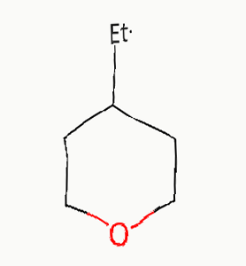 C[CH]C1CCOCC1